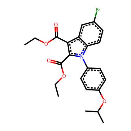 CCOC(=O)c1c(C(=O)OCC)n(-c2ccc(OC(C)C)cc2)c2ccc(Br)cc12